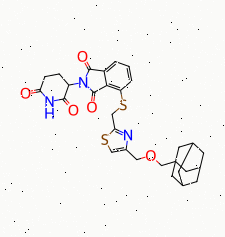 O=C1CCC(N2C(=O)c3cccc(SCc4nc(COCC56CC7CC(CC(C7)C5)C6)cs4)c3C2=O)C(=O)N1